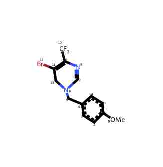 COc1ccc(CN2C=NC(C(F)(F)F)=C(Br)C2)cc1